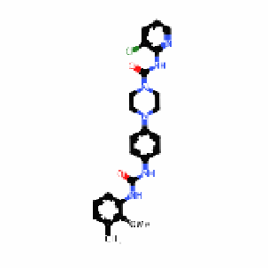 COc1c(C)cccc1NC(=O)Nc1ccc(N2CCN(C(=O)Nc3ncccc3Cl)CC2)cc1